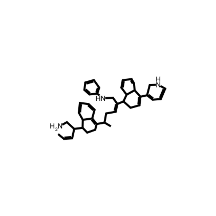 C/C=C\C(CN)C1CCC(C(C)C/C=C(\CNc2ccccc2)C2CC=C(C3=CC=CNC3)C3C=CC=CC32)=C2C=CC=CC21